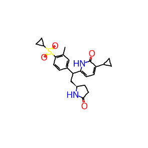 Cc1cc(C(C[C@H]2CCC(=O)N2)c2ccc(C3CC3)c(=O)[nH]2)ccc1S(=O)(=O)C1CC1